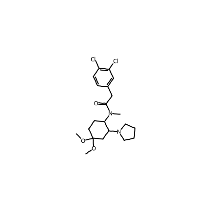 COC1(OC)CCC(N(C)C(=O)Cc2ccc(Cl)c(Cl)c2)C(N2CCCC2)C1